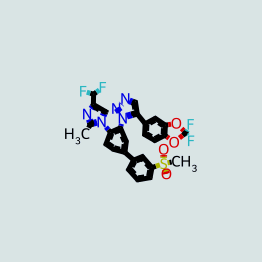 Cc1nc(C(F)F)cn1-c1ccc(-c2cccc(S(C)(=O)=O)c2)cc1-n1nncc1-c1ccc2c(c1)OC(F)(F)O2